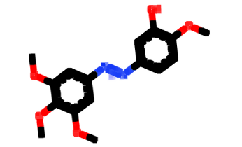 COc1ccc(/N=N/c2cc(OC)c(OC)c(OC)c2)cc1O